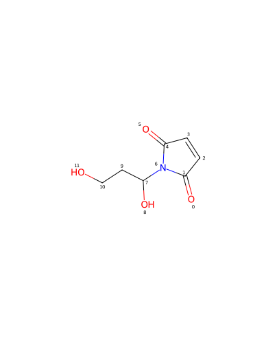 O=C1C=CC(=O)N1C(O)CCO